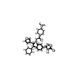 CN(C)C1CCN(C(=O)Cn2c(-c3ccoc3)c(C3CCCCC3)c3ccc(-c4noc(=O)[nH]4)cc32)CC1